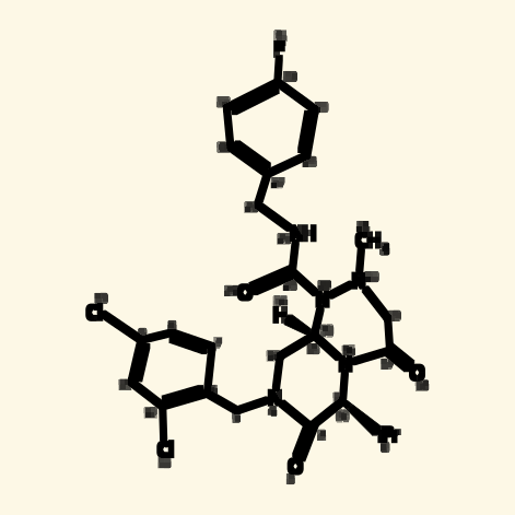 CC(C)[C@H]1C(=O)N(Cc2ccc(Cl)cc2Cl)C[C@H]2N1C(=O)CN(C)N2C(=O)NCc1ccc(F)cc1